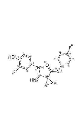 N=C(Nc1ccc(O)c(F)c1)C1(C(=O)Nc2ccc(F)cc2)CC1